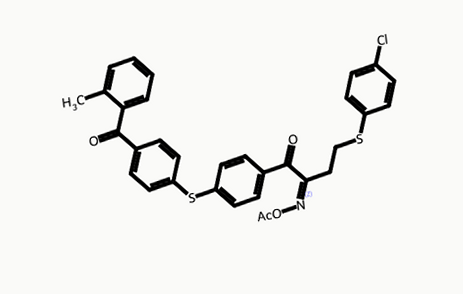 CC(=O)O/N=C(/CCSc1ccc(Cl)cc1)C(=O)c1ccc(Sc2ccc(C(=O)c3ccccc3C)cc2)cc1